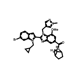 COc1cc(C(=O)N2CC3CCC2[C@@H]3N)cc2nc(-c3cc4ccc(Br)cc4n3CC3CC3)n(Cc3cnn(C)c3)c12